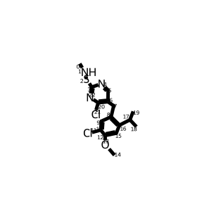 CNSc1ncc(Cc2cc(Cl)c(OC)cc2C(C)C)c(Cl)n1